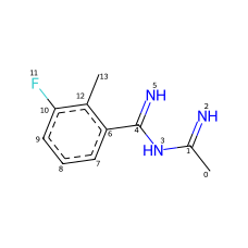 CC(=N)NC(=N)c1cccc(F)c1C